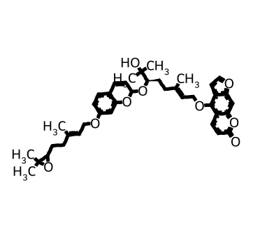 C/C(=C\COc1ccc2c(c1)OC(O[C@H](CC/C(C)=C/COc1c3ccoc3cc3oc(=O)ccc13)C(C)(C)O)C=C2)CCC1OC1(C)C